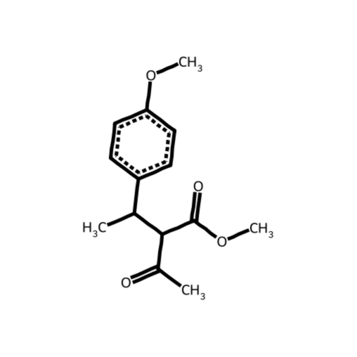 COC(=O)C(C(C)=O)C(C)c1ccc(OC)cc1